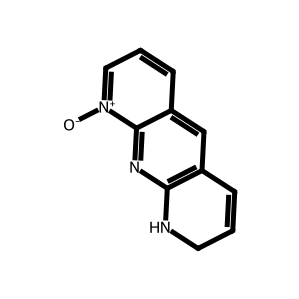 [O-][n+]1cccc2cc3c(nc21)NCC=C3